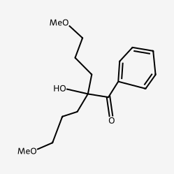 COCCCC(O)(CCCOC)C(=O)c1ccccc1